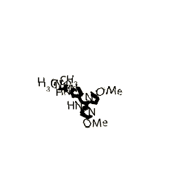 COc1ccc(-c2c(-c3ccnc(NC(=O)CN(C)C)c3)[nH]c3cc(OC)cnc23)nc1